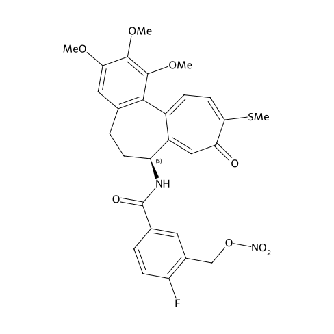 COc1cc2c(c(OC)c1OC)-c1ccc(SC)c(=O)cc1[C@@H](NC(=O)c1ccc(F)c(CO[N+](=O)[O-])c1)CC2